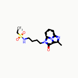 Cc1nc2cccc3n(CCCCNS(=O)(=O)CC(F)(F)F)c(=O)c1n23